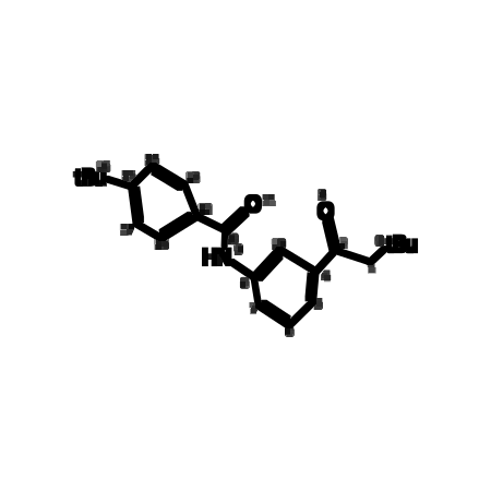 CC(C)(C)CC(=O)c1cccc(NC(=O)c2ccc(C(C)(C)C)cc2)c1